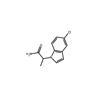 CC(C(N)=O)n1ccc2cc(Cl)ccc21